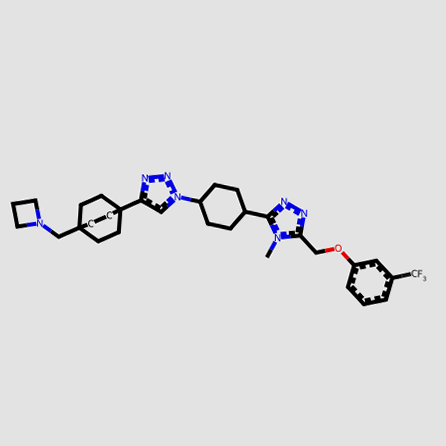 Cn1c(COc2cccc(C(F)(F)F)c2)nnc1C1CCC(n2cc(C34CCC(CN5CCC5)(CC3)CC4)nn2)CC1